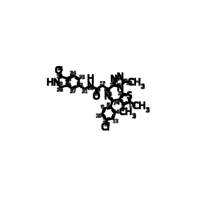 Cc1sc2c(c1C)C(c1ccc(Cl)cc1)=N[C@@H](CC(=O)NCc1ccc3c(c1)CNC3=O)c1nnc(C)n1-2